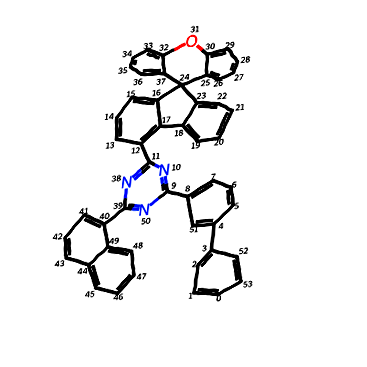 c1ccc(-c2cccc(-c3nc(-c4cccc5c4-c4ccccc4C54c5ccccc5Oc5ccccc54)nc(-c4cccc5ccccc45)n3)c2)cc1